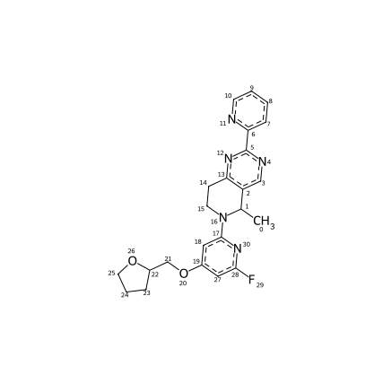 CC1c2cnc(-c3ccccn3)nc2CCN1c1cc(OCC2CCCO2)cc(F)n1